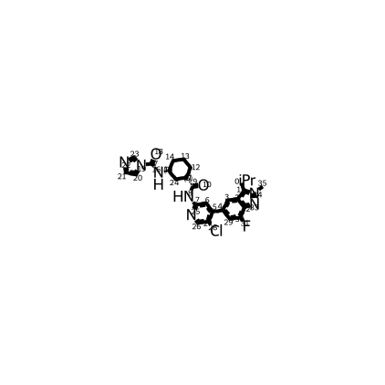 CC(C)c1c2cc(-c3cc(NC(=O)[C@H]4CCC[C@@H](NC(=O)n5ccnc5)C4)ncc3Cl)cc(F)c2nn1C